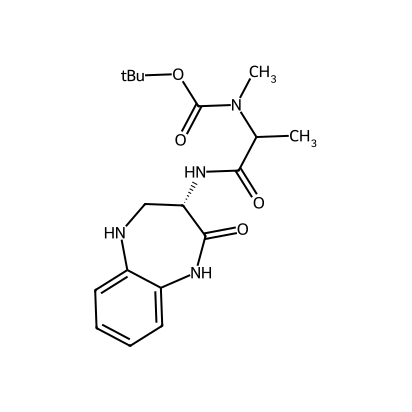 CC(C(=O)N[C@H]1CNc2ccccc2NC1=O)N(C)C(=O)OC(C)(C)C